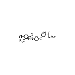 CNC(=O)c1cc(Oc2ccc(NC(=O)c3ccc(Cl)c(C(F)(F)F)c3)cc2)ccn1